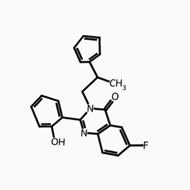 CC(Cn1c(-c2ccccc2O)nc2ccc(F)cc2c1=O)c1ccccc1